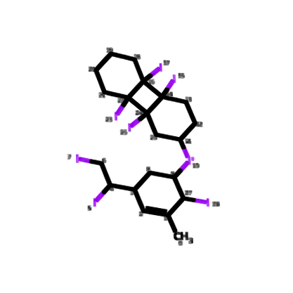 CC1=CC(C(I)CI)CC([I+]C2CCC3(I)C4(I)CCCCC4(I)C3(I)C2)C1I